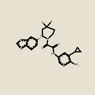 Nc1ncc(NC(=O)C(=O)N2CCC(F)(F)C[C@H]2c2ccc3scnc3c2)cc1C1CC1